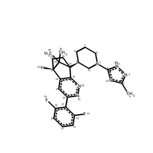 Cc1n[nH]c(N2CCC[C@H](C34CC[C@@H](c5cc(-c6c(F)cccc6F)nnc53)C4(C)C)C2)n1